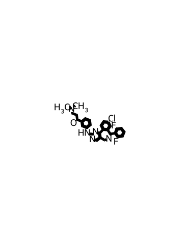 CN(C)CCC(=O)c1cccc(Nc2ncc3c(n2)-c2ccc(Cl)cc2C(c2c(F)cccc2F)=NC3)c1